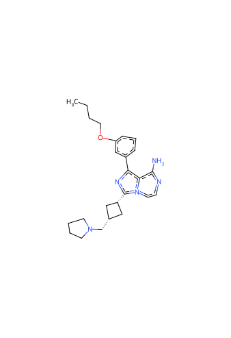 CCCCOc1cccc(-c2nc([C@H]3C[C@@H](CN4CCCC4)C3)n3ccnc(N)c23)c1